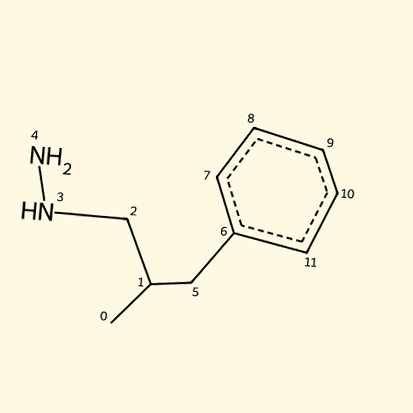 CC(CNN)Cc1ccccc1